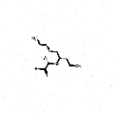 CCC[C@@H](COOCC)N[C@@H](C)C(=O)O